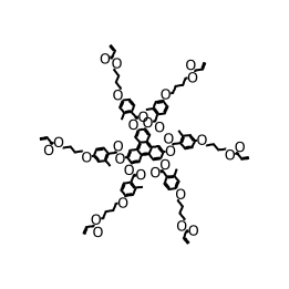 C=CC(=O)OCCCCOc1ccc(C(=O)Oc2cc3c4cc(OC(=O)c5ccc(OCCCCOC(=O)C=C)cc5C)c(OC(=O)c5ccc(OCCCCOC(=O)C=C)cc5C)cc4c4cc(OC(=O)c5ccc(OCCCCOC(=O)C=C)cc5C)c(OC(=O)c5ccc(OCCCCOC(=O)C=C)cc5C)cc4c3cc2OC(=O)c2ccc(OCCCCOC(=O)C=C)cc2C)c(C)c1